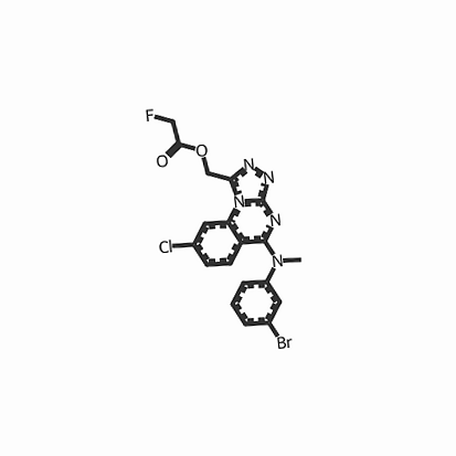 CN(c1cccc(Br)c1)c1nc2nnc(COC(=O)CF)n2c2cc(Cl)ccc12